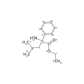 CCOC(=O)C(N)(CC(C)C)c1ccccc1